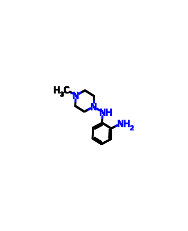 CN1CCN(Nc2ccccc2N)CC1